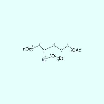 CCCCCCCCCCCCCOC(C)=O.CCOCC